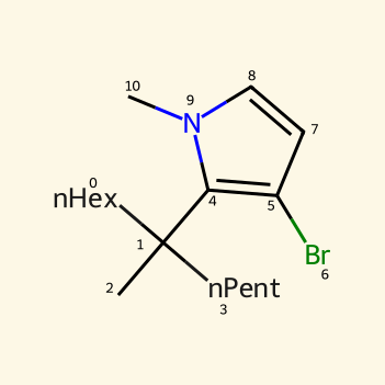 CCCCCCC(C)(CCCCC)c1c(Br)ccn1C